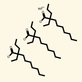 CCCCCCCC(CC)(CCC)C(=O)[O-].CCCCCCCC(CC)(CCC)C(=O)[O-].CCCCCCCC(CC)(CCC)C(=O)[O-].[Nd+3]